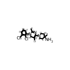 CC1=NC(N2CCC(C)(N)CC2)=C(C)CN1c1cccc(Cl)c1Cl